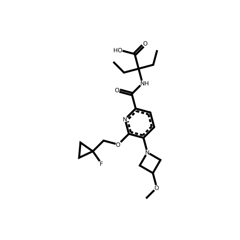 CCC(CC)(NC(=O)c1ccc(N2CC(OC)C2)c(OCC2(F)CC2)n1)C(=O)O